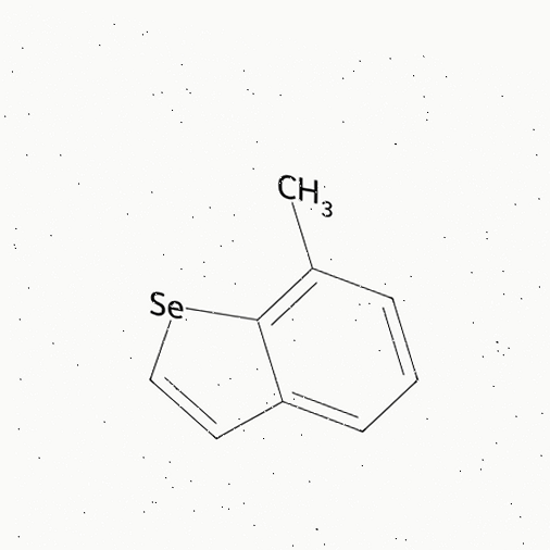 Cc1cccc2cc[se]c12